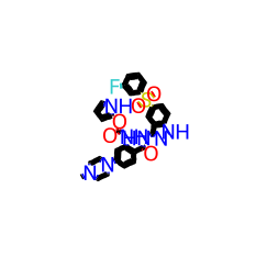 CN1CCN(c2ccc(C(=O)Nc3n[nH]c4ccc(S(=O)(=O)c5cccc(F)c5)cc34)c(NC(=O)Oc3ccc[nH]3)c2)CC1